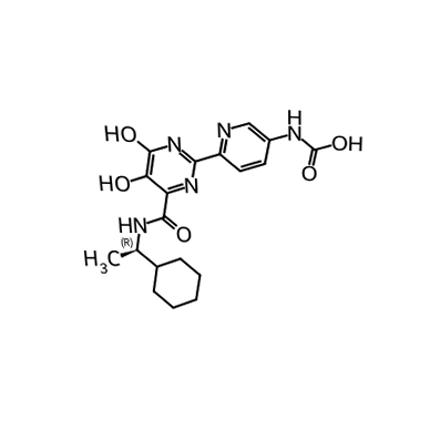 C[C@@H](NC(=O)c1nc(-c2ccc(NC(=O)O)cn2)nc(O)c1O)C1CCCCC1